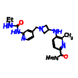 CCNC(=O)Nc1cc(CN2CC(Nc3ccc(C(=O)NC)nc3C)C2)ccn1